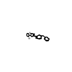 Brc1cccc2oc3ccc(-c4cccc(Cc5ccccc5)c4)cc3c12